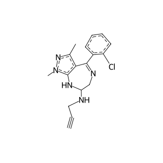 C#CCNC1CN=C(c2ccccc2Cl)c2c(C)nn(C)c2N1